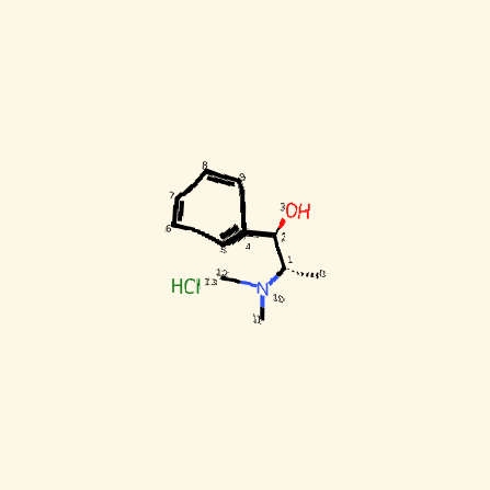 C[C@@H]([C@H](O)c1ccccc1)N(C)C.Cl